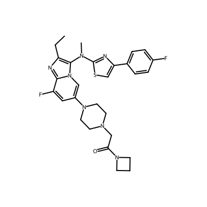 CCc1nc2c(F)cc(N3CCN(CC(=O)N4CCC4)CC3)cn2c1N(C)c1nc(-c2ccc(F)cc2)cs1